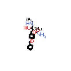 CC(C)CNC[C@@H](O)[C@@](Cc1ccc(OCc2ccccc2)cc1)(OC(N)=O)C(C)(C)C